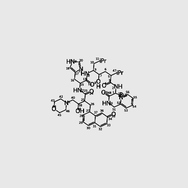 CCC(C)C(NC(=O)C(CC(O)C(CC(C)C)NC(=O)C(Cc1c[nH]cn1)NC(=O)C(CC1C=CC=C2C=CC(=O)C=C21)C(O)CN1CCOCC1)C(C)C)C(=O)NCc1ccccn1